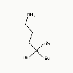 CCCC[Si](CCCC)(CCCC)CCCN